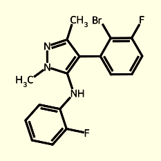 Cc1nn(C)c(Nc2ccccc2F)c1-c1cccc(F)c1Br